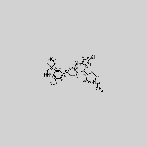 CC1(CO)CNc2c(C#N)cc(-c3ccnc(Nc4cc(Cl)nn4CC4CCN(CC(F)(F)F)CC4)n3)cc21